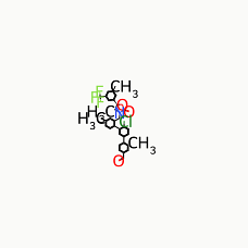 Cc1cc([C@H]2OC(=O)N(Cc3cc(C)ccc3-c3cc(-c4ccc(C=O)cc4C)ccc3Cl)[C@H]2C)cc(C(F)(F)F)c1